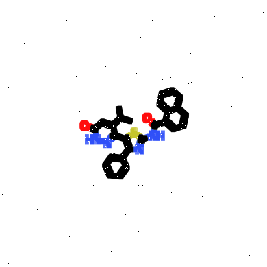 CC(C)c1cc(=O)[nH]nc1-c1sc(NC(=O)c2cccc3ccccc23)nc1-c1ccccc1